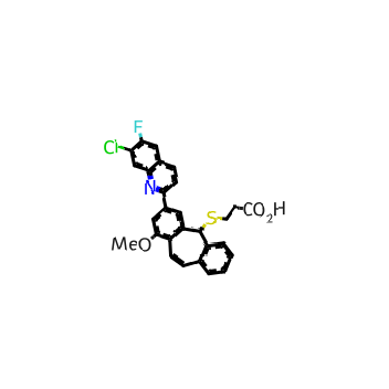 COc1cc(-c2ccc3cc(F)c(Cl)cc3n2)cc2c1C=Cc1ccccc1C2SCCC(=O)O